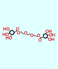 O=C(OCCOCCOCCOC(=O)c1cc(O)c(O)c(O)c1)c1cc(O)c(O)c(O)c1